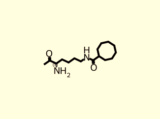 CC(=O)[C@@H](N)CCCCNC(=O)C1CCCCCCC1